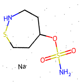 NS(=O)(=O)OC1CCNSCC1.[Na]